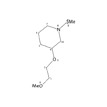 COCCOC1CCCN(SC)C1